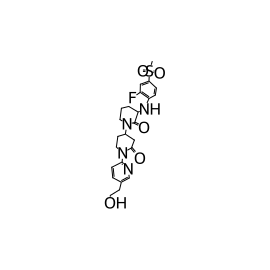 CS(=O)(=O)c1ccc(NC2CCCN(C3CCN(c4ccc(CCO)cn4)C(=O)C3)C2=O)c(F)c1